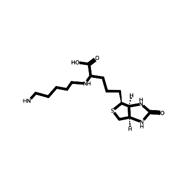 [NH]CCCCCNC(CCC[C@@H]1SC[C@@H]2NC(=O)N[C@@H]21)C(=O)O